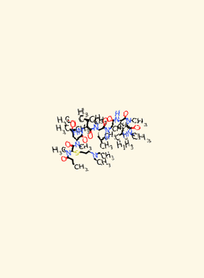 CCCC(=O)N(C)[C@H](SCCCN(CC)CC)C(=O)N(C)[C@@H](CC(C)(C)OC)C(=O)N[C@H](C(=O)N(C)[C@@H](CC(C)C)C(=O)N[C@@H](C)C(=O)N[C@H](C)C(=O)N(C)[C@@H](CC(C)C)C(=O)NC)C(C)C